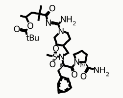 CC(CC(C)(C)C(=O)N=C(N)N1CCC(CN([C@H](Cc2ccccc2)C(=O)N2CCC[C@H]2C(N)=O)S(C)(=O)=O)CC1)OC(=O)C(C)(C)C